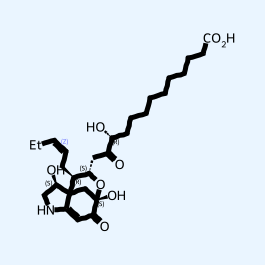 CC/C=C\C[C@H]1[C@H](CC(=O)[C@H](O)CCCCCCCCCC(=O)O)O[C@@]2(O)CC13C(=CC2=O)NC[C@H]3O